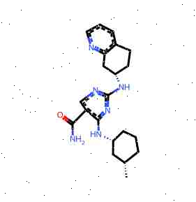 C[C@H]1CCC[C@@H](Nc2nc(N[C@H]3CCc4cccnc4C3)ncc2C(N)=O)C1